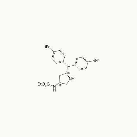 CCOC(=O)N[C@H]1CN[C@@H](C(c2ccc(C(C)C)cc2)c2ccc(C(C)C)cc2)C1